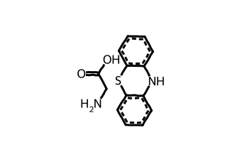 NCC(=O)O.c1ccc2c(c1)Nc1ccccc1S2